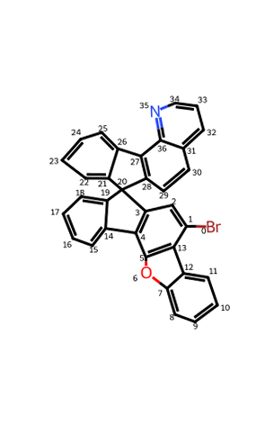 Brc1cc2c(c3oc4ccccc4c13)-c1ccccc1C21c2ccccc2-c2c1ccc1cccnc21